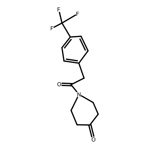 O=C1CCN(C(=O)Cc2ccc(C(F)(F)F)cc2)CC1